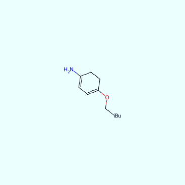 CCC(C)COC1=CC=C(N)CC1